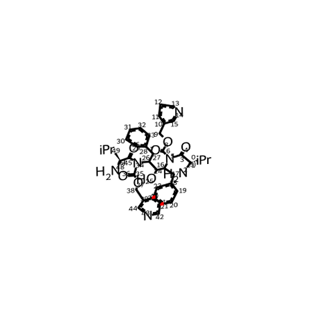 CC(C)[C@H](N)C(=O)N(C(=O)OCc1cccnc1)C(Cc1ccccc1)C(O)C(Cc1ccccc1)N(C(=O)OCc1cccnc1)C(=O)[C@@H](N)C(C)C